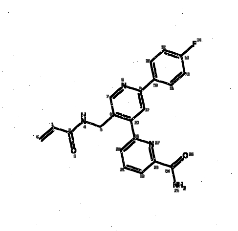 C=CC(=O)NCc1cnc(-c2ccc(F)cc2)cc1-c1cccc(C(N)=O)n1